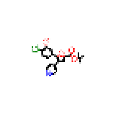 COc1cc(-c2oc(C(=O)OC(C)(C)C)cc2-c2ccncc2)ccc1Cl